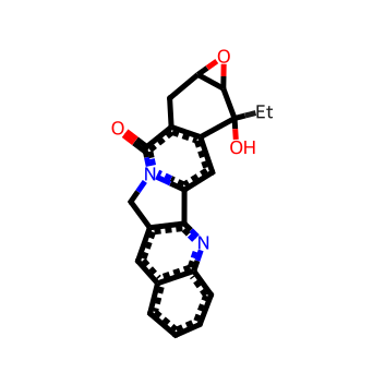 CCC1(O)c2cc3n(c(=O)c2CC2OC21)Cc1cc2ccccc2nc1-3